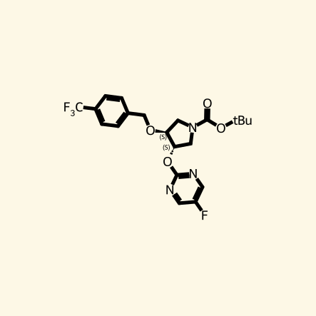 CC(C)(C)OC(=O)N1C[C@H](OCc2ccc(C(F)(F)F)cc2)[C@@H](Oc2ncc(F)cn2)C1